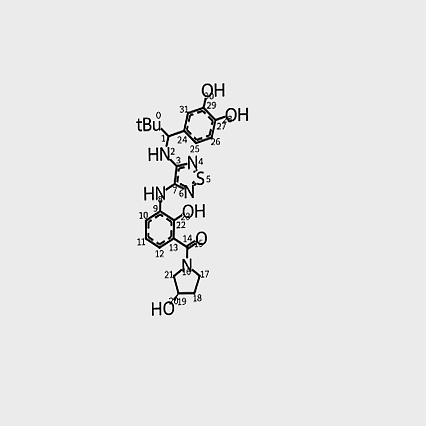 CC(C)(C)C(Nc1nsnc1Nc1cccc(C(=O)N2CC[C@@H](O)C2)c1O)c1ccc(O)c(O)c1